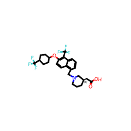 O=C(O)C[C@H]1CCCN(Cc2cccc3c(C(F)(F)F)c(OC4CCC(C(F)(F)F)CC4)ccc23)C1